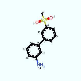 CS(=O)(=O)c1cccc(-c2cccc(N)c2)c1